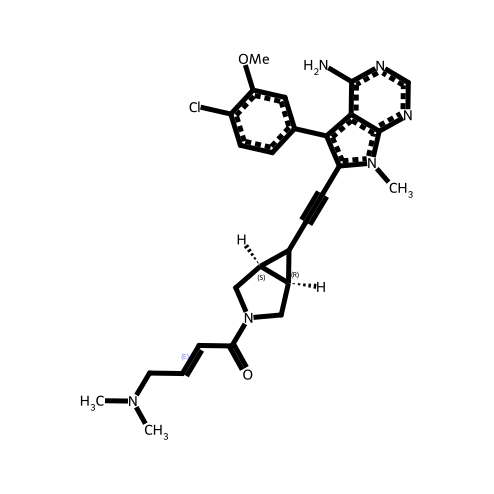 COc1cc(-c2c(C#CC3[C@H]4CN(C(=O)/C=C/CN(C)C)C[C@@H]34)n(C)c3ncnc(N)c23)ccc1Cl